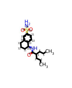 CCCC(CCC)C(=O)NC1CCCc2cc(S(N)(=O)=O)ccc21